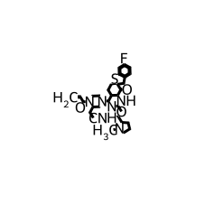 C=CC(=O)N1CCN(C2NC(OCC3CCCN3C)NC3C(=O)[C@@]4(CCC32)Cc2ccc(F)cc2S4)CC1CC#N